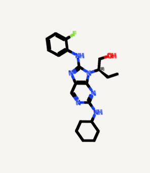 CC[C@H](CO)n1c(Nc2ccccc2F)nc2cnc(NC3CCCCC3)nc21